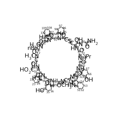 CCCC[C@H]1C(=O)N(C)CC(=O)N[C@@H](CC(=O)O)C(=O)N(C)[C@@H](Cc2ccccc2)C(=O)N[C@@H](Cc2ccc(O)cc2)C(=O)N(C)CC(=O)N[C@@H](Cc2c[nH]c3ccccc23)C(=O)N[C@@H](Cc2ccc(O)cc2)C(=O)N[C@@H](CC(C)C)C(=O)N[C@H](C(=O)NCC(N)=O)CSCC(=O)N[C@@H](Cc2ccccc2)C(=O)N(C)[C@@H](Cc2ccccc2)C(=O)N1C